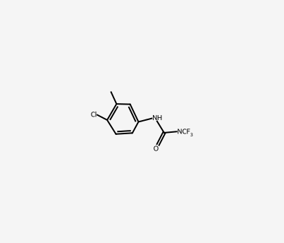 Cc1cc(NC(=O)NC(F)(F)F)ccc1Cl